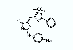 CC(=O)O.O=C1N=C(Nc2cc[c]([Na])cc2)SC1=Cc1ccc(-c2ccccc2)s1